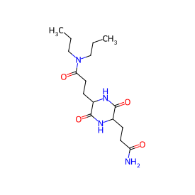 CCCN(CCC)C(=O)CCC1NC(=O)C(CCC(N)=O)NC1=O